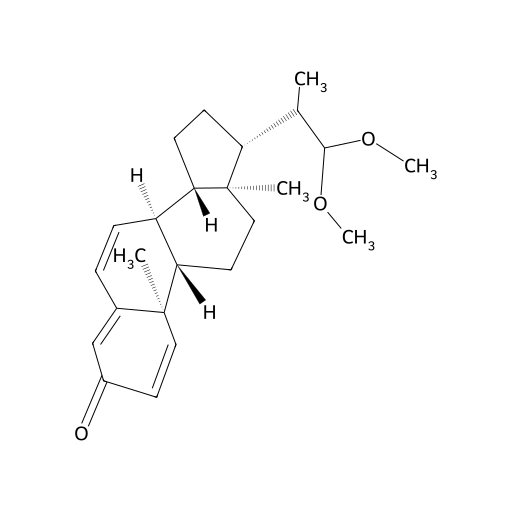 COC(OC)C(C)[C@H]1CC[C@H]2[C@@H]3C=CC4=CC(=O)C=C[C@]4(C)[C@H]3CC[C@]12C